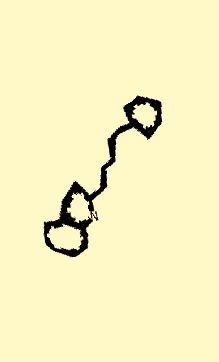 C(/C=C/c1ccc2ccccc2n1)=C\c1ccccc1